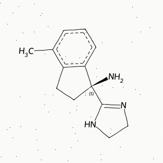 Cc1cccc2c1CC[C@@]2(N)C1=NCCN1